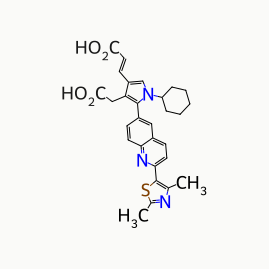 Cc1nc(C)c(-c2ccc3cc(-c4c(CC(=O)O)c(C=CC(=O)O)cn4C4CCCCC4)ccc3n2)s1